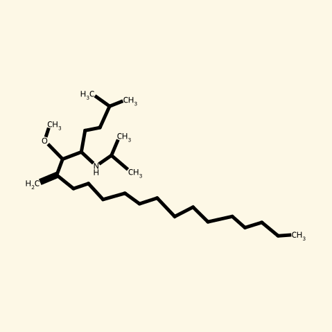 C=C(CCCCCCCCCCCCCC)C(OC)C(CCC(C)C)NC(C)C